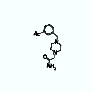 CC(=O)c1cccc(CN2CCN(CC(N)=O)CC2)c1